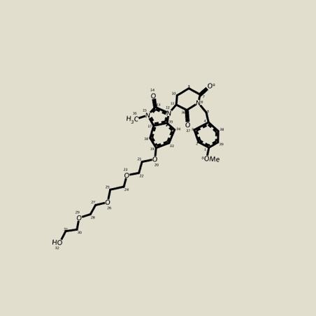 COc1ccc(CN2C(=O)CCC(n3c(=O)n(C)c4cc(OCCOCCOCCOCCO)ccc43)C2=O)cc1